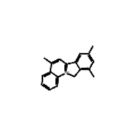 Cc1cc(C)c2c(c1)-c1cc(C)c3ccccc3[n+]1C2